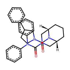 O=C(N1C[C@H]2CCC[C@@H](C1)N2C(=O)N1CCC(c2ccccc2)C1)N(c1ccccc1)c1ccccc1